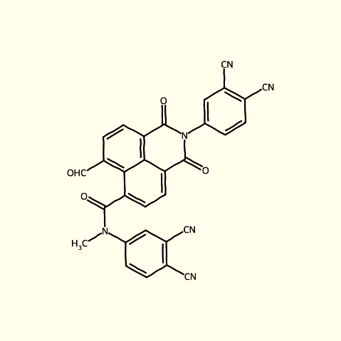 CN(C(=O)c1ccc2c3c(ccc(C=O)c13)C(=O)N(c1ccc(C#N)c(C#N)c1)C2=O)c1ccc(C#N)c(C#N)c1